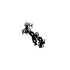 CC(C)(C)S(=O)(=O)c1cnc2ccc(NC(=O)c3ccc(NS(=O)(=O)CCO)cc3N3CCC4(CC3)CC4)cn12